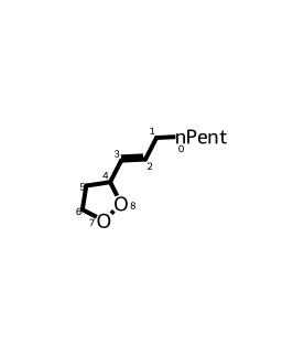 CCCCCCC=CC1CCOO1